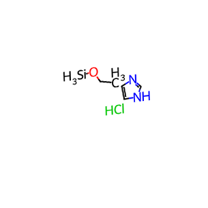 CCO[SiH3].Cl.c1c[nH]cn1